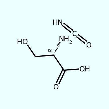 N=C=O.N[C@@H](CO)C(=O)O